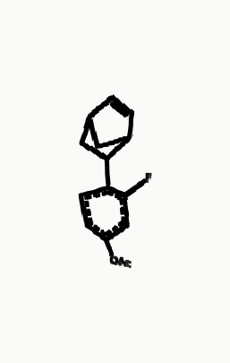 CC(=O)Oc1ccc(C2CC3C=CC2C3)c(F)c1